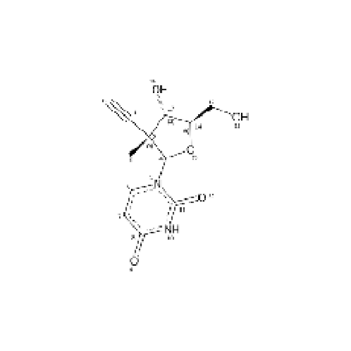 C#C[C@@]1(C)C(n2ccc(=O)[nH]c2=O)O[C@H](CO)[C@H]1O